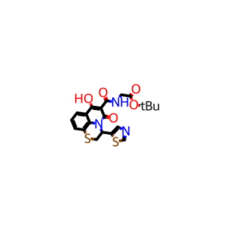 CC(C)(C)OC(=O)CNC(=O)c1c(O)c2cccc3c2n(c1=O)C(c1cncs1)CS3